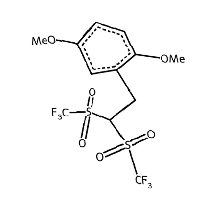 COc1ccc(OC)c(CC(S(=O)(=O)C(F)(F)F)S(=O)(=O)C(F)(F)F)c1